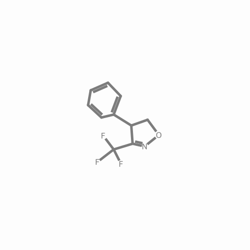 FC(F)(F)C1=NOCC1c1ccccc1